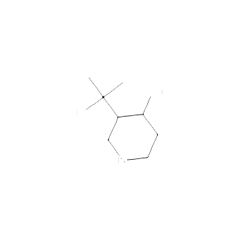 CCCC1CCNCC1C(C)(C)CC